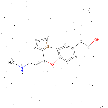 CNCC[C@@H](Oc1ccc(CCO)cc1)c1cccs1